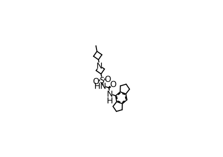 CC1CC(N2CC(S(=O)(=O)NC(=O)Nc3c4c(cc5c3CCC5)CCC4)C2)C1